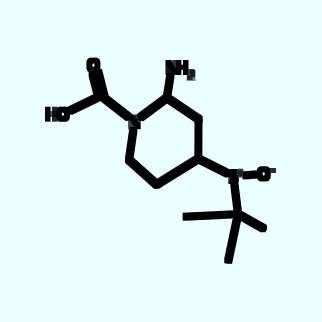 CC(C)(C)[S+]([O-])C1CCN(C(=O)O)C(N)C1